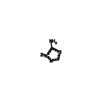 Nc1nncs1.[Zn]